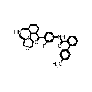 Cc1ccc(-c2ccccc2C(=O)Nc2ccc(C(=O)C3CC=CC4=CNC=C5COCCN5C43)c(F)c2)cc1